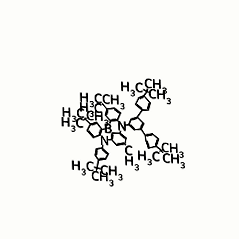 Cc1cc2c3c(c1)N(c1cc(-c4ccc(C(C)(C)C)cc4)cc(-c4ccc(C(C)(C)C)cc4)c1)c1ccc(C(C)(C)C)cc1B3c1cc(C(C)(C)C)ccc1N2c1ccc(C(C)(C)C)cc1